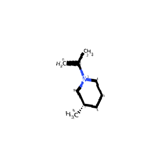 C=C(C)N1CCC[C@H](C)C1